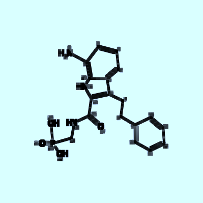 Nc1cccc2c(CCc3ccccc3)c(C(=O)NCP(=O)(O)O)[nH]c12